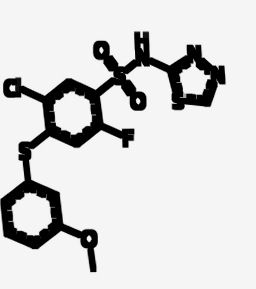 COc1cccc(Sc2cc(F)c(S(=O)(=O)Nc3nncs3)cc2Cl)c1